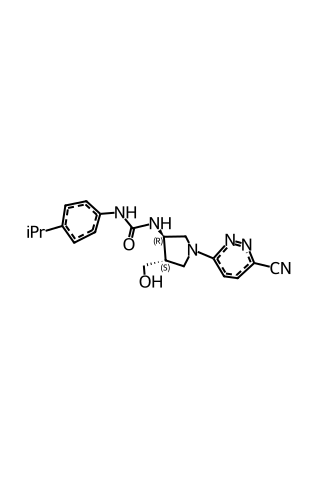 CC(C)c1ccc(NC(=O)N[C@H]2CN(c3ccc(C#N)nn3)C[C@@H]2CO)cc1